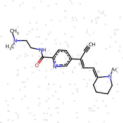 C#C/C(=C\C=C1/CCCCN1C(C)=O)c1ccc(C(=O)NCCN(C)C)nc1